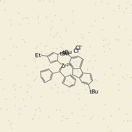 CCC1=CC(C(C)(C)C)[C]([Zr+2](=[C](c2ccccc2)c2ccccc2)[c]2c(C(C)(C)C)ccc3c2Cc2cc(C(C)(C)C)ccc2-3)=C1.[Cl-].[Cl-]